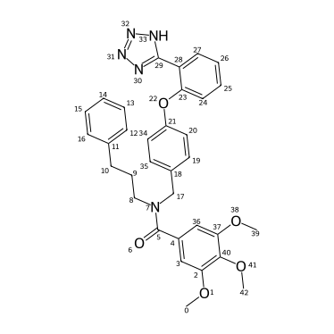 COc1cc(C(=O)N(CCCc2ccccc2)Cc2ccc(Oc3ccccc3-c3nnn[nH]3)cc2)cc(OC)c1OC